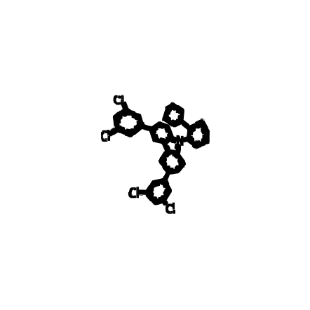 Clc1cc(Cl)cc(-c2ccc3c(c2)c2cc(-c4cc(Cl)cc(Cl)c4)ccc2n3-c2ccccc2-c2ccccc2)c1